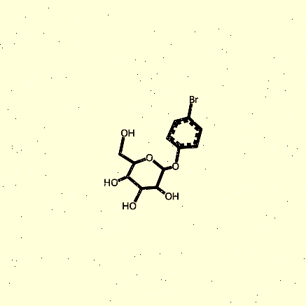 OCC1OC(Oc2ccc(Br)cc2)C(O)C(O)C1O